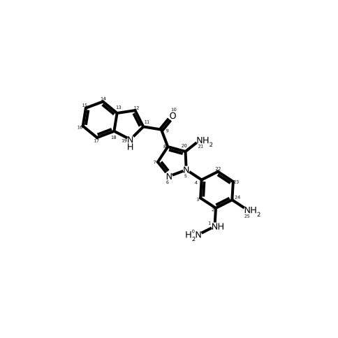 NNc1cc(-n2ncc(C(=O)c3cc4ccccc4[nH]3)c2N)ccc1N